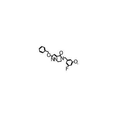 COc1cc(F)cc(CN2CCn3nc(OCc4ccccc4)cc3C2=O)c1